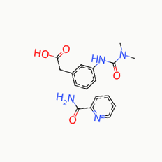 CN(C)C(=O)Nc1cccc(CC(=O)O)c1.NC(=O)c1ccccn1